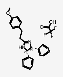 COc1ccc(CCC2=N[C@H](c3ccccc3)[C@H](c3ccccc3)N2)cc1.O=C(O)C(F)(F)F